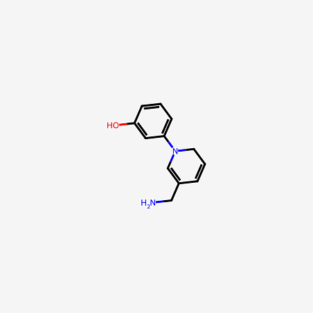 NCC1=CN(c2cccc(O)c2)CC=C1